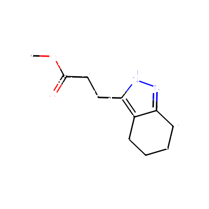 COC(=O)CCc1[nH]nc2c1CCCC2